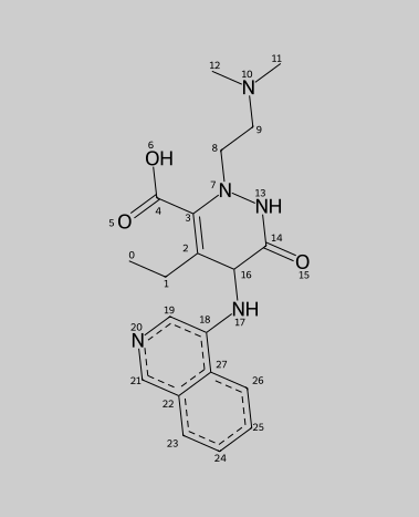 CCC1=C(C(=O)O)N(CCN(C)C)NC(=O)C1Nc1cncc2ccccc12